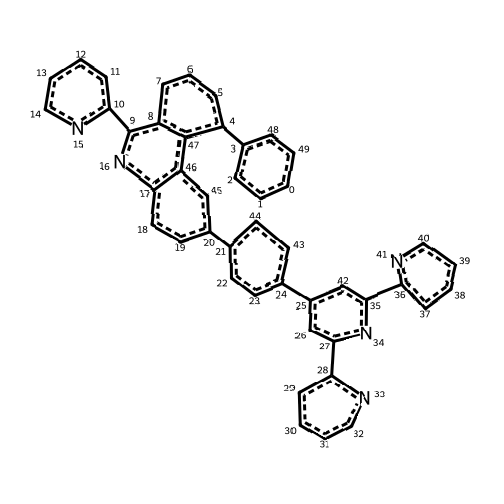 c1ccc(-c2cccc3c(-c4ccccn4)nc4ccc(-c5ccc(-c6cc(-c7ccccn7)nc(-c7ccccn7)c6)cc5)cc4c23)cc1